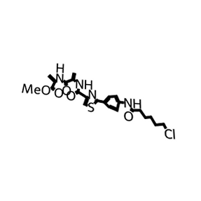 C=C(NC(=O)c1csc(-c2ccc(NC(=O)CCCCCCl)cc2)n1)C(=O)NC(=C)C(=O)OC